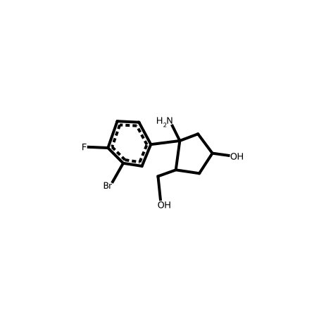 NC1(c2ccc(F)c(Br)c2)CC(O)CC1CO